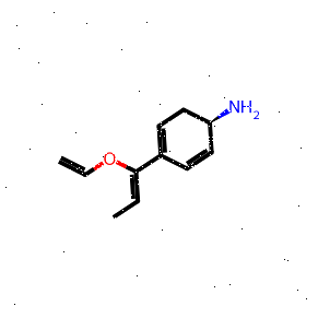 C=CO/C(=C\C)C1=CC[C@@H](N)C=C1